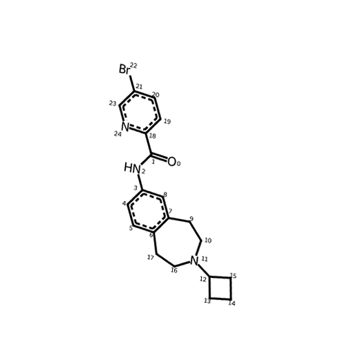 O=C(Nc1ccc2c(c1)CCN(C1CCC1)CC2)c1ccc(Br)cn1